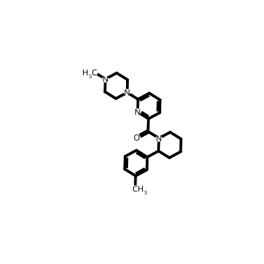 Cc1cccc(C2CCCCN2C(=O)c2cccc(N3CCN(C)CC3)n2)c1